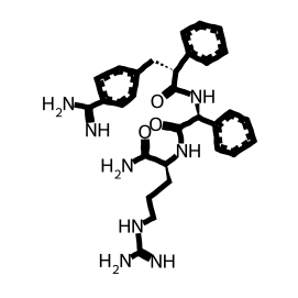 N=C(N)NCCC[C@H](NC(=O)[C@@H](NC(=O)[C@H](Cc1ccc(C(=N)N)cc1)c1ccccc1)c1ccccc1)C(N)=O